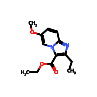 CCOC(=O)c1c(CC)nc2ccc(OC)cn12